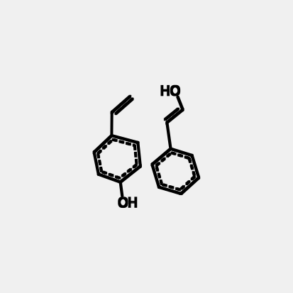 C=Cc1ccc(O)cc1.OC=Cc1ccccc1